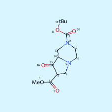 COC(=O)C1CN2CCN(C(=O)OC(C)(C)C)CC2C1=O